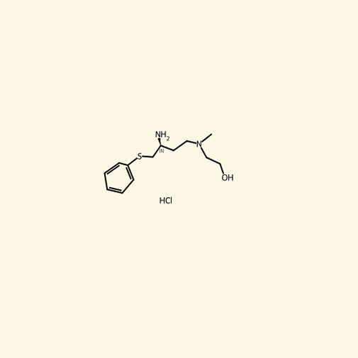 CN(CCO)CC[C@H](N)CSc1ccccc1.Cl